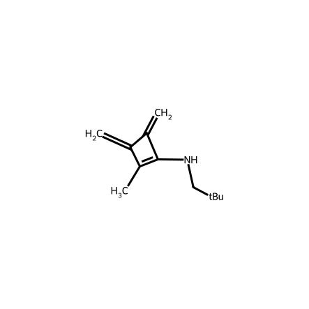 C=C1C(=C)C(NCC(C)(C)C)=C1C